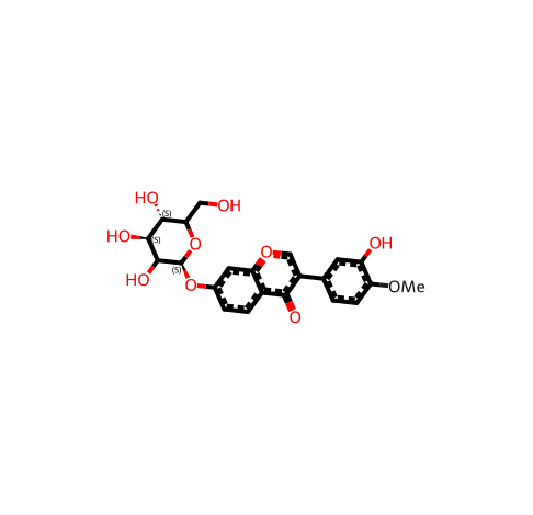 COc1ccc(-c2coc3cc(O[C@@H]4OC(CO)[C@@H](O)[C@H](O)C4O)ccc3c2=O)cc1O